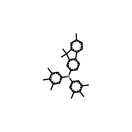 Cc1ccc2c(c1)C(C)(C)c1cc(N(c3cc(C)c(C)c(C)c3)c3cc(C)c(C)c(C)c3)ccc1-2